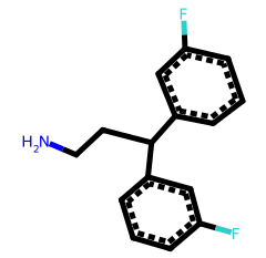 NCCC(c1cccc(F)c1)c1cccc(F)c1